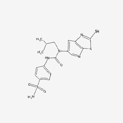 CC(C)CN(C(=O)Nc1ccc(S(N)(=O)=O)cc1)c1cnc2sc(S)nc2c1